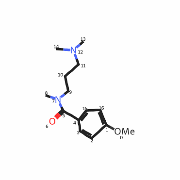 COc1ccc(C(=O)N(C)CCCN(C)C)cc1